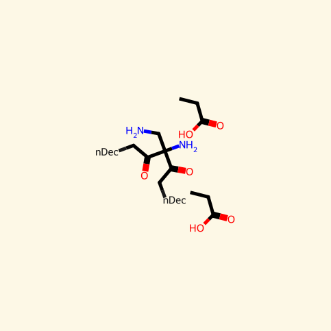 CCC(=O)O.CCC(=O)O.CCCCCCCCCCCC(=O)C(N)(CN)C(=O)CCCCCCCCCCC